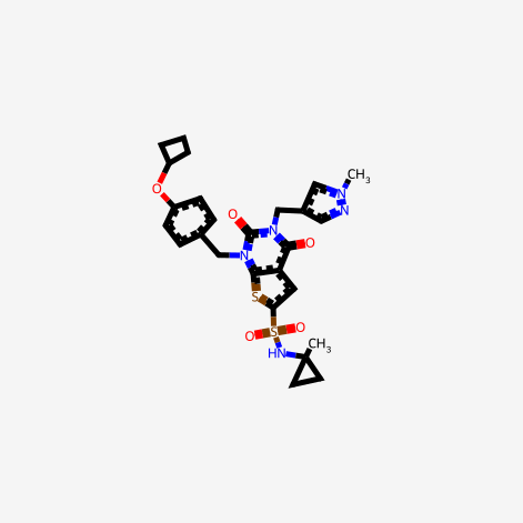 Cn1cc(Cn2c(=O)c3cc(S(=O)(=O)NC4(C)CC4)sc3n(Cc3ccc(OC4CCC4)cc3)c2=O)cn1